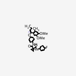 C=C/C=C(/Oc1ccc(NC(=O)C2(C(=O)Nc3ccc(F)cc3)CC2)cc1)c1cc(OC)c(OC)cc1C